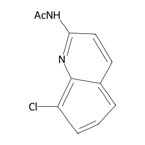 CC(=O)Nc1ccc2cccc(Cl)c2n1